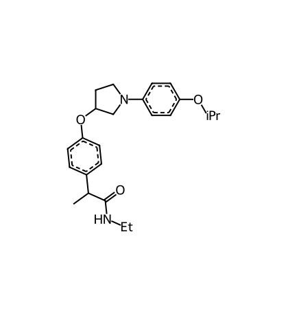 CCNC(=O)C(C)c1ccc(OC2CCN(c3ccc(OC(C)C)cc3)C2)cc1